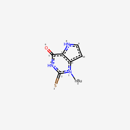 CCCCn1c(=S)[nH]c(=O)c2[nH]ccc21